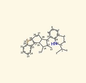 CC(C)C1CCc2cccc(C3C(C)C(C)C4c5c(sc6ccccc56)C=CC34)c2N1